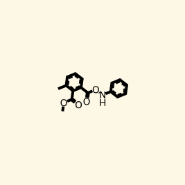 COC(=O)c1c(C)cccc1C(=O)ONc1ccccc1